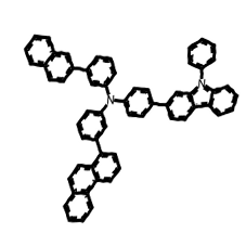 c1ccc(-n2c3ccccc3c3ccc(-c4ccc(N(c5cccc(-c6ccc7ccccc7c6)c5)c5cccc(-c6cccc7c6ccc6ccccc67)c5)cc4)cc32)cc1